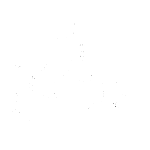 CCn1ccc2cc(-c3cc(CC(C)C(=O)O)cc([N+](=O)[O-])c3OC3CCCCC3)ccc21